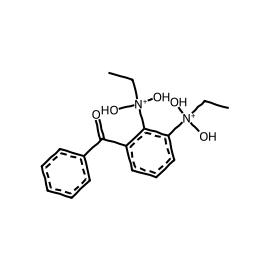 CC[N+](O)(O)c1cccc(C(=O)c2ccccc2)c1[N+](O)(O)CC